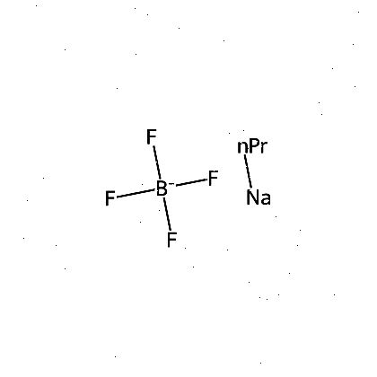 CC[CH2][Na].F[B-](F)(F)F